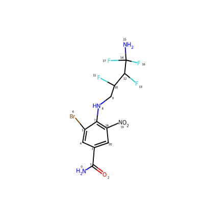 NC(=O)c1cc(Br)c(NCC(F)C(F)C(N)(F)F)c([N+](=O)[O-])c1